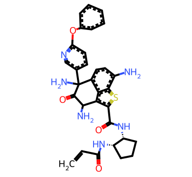 C=CC(=O)N[C@H]1CCC[C@H]1NC(=O)c1sc2c(N)ccc3c2c1C(N)C(=O)C3(N)c1ccc(Oc2ccccc2)nc1